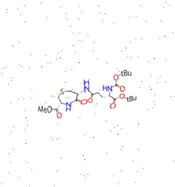 COC(=O)[C@H]1NC(=O)[C@@H](NC(=O)CC[C@H](NC(=O)OC(C)(C)C)C(=O)OC(C)(C)C)CS[C@H]1C